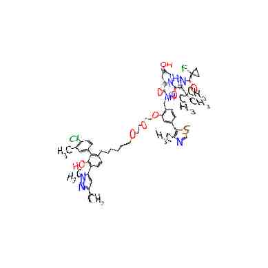 Cc1cc(-c2ccc(CCCCCCOCCOCCOc3cc(-c4scnc4C)ccc3CNC(=O)[C@@H]3C[C@@H](O)CN3C(=O)[C@@H](NC(=O)C3(F)CC3)C(C)(C)C)c(-c3ccc(Cl)c(C)c3)c2O)n(C)n1